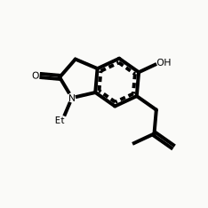 C=C(C)Cc1cc2c(cc1O)CC(=O)N2CC